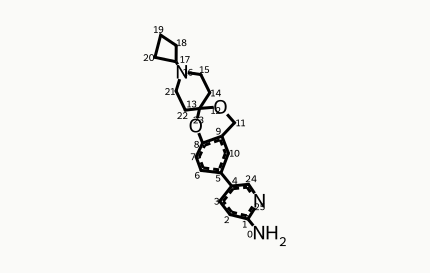 Nc1ccc(-c2ccc3c(c2)COC2(CCN(C4CCC4)CC2)O3)cn1